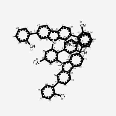 N#Cc1cccc(-c2c(-n3c4cc(-c5ccccc5C#N)ccc4c4ccc(-c5ccccc5C#N)cc43)cc(C(F)(F)F)cc2-n2c3cc(-c4ccccc4C#N)ccc3c3ccc(-c4ccccc4C#N)cc32)c1